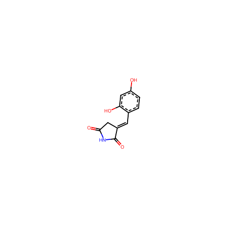 O=C1C/C(=C\c2ccc(O)cc2O)C(=O)N1